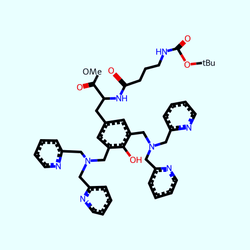 COC(=O)C(Cc1cc(CN(Cc2ccccn2)Cc2ccccn2)c(O)c(CN(Cc2ccccn2)Cc2ccccn2)c1)NC(=O)CCCNC(=O)OC(C)(C)C